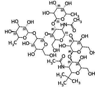 CC(=O)NC1[C@H](O[C@@H]2C(O)[C@H](O[C@@H]3C(NC(C)=O)C(C(C)(C)C)OC(CO)[C@@H]3O)OC(CO)[C@@H]2O)OC(CO)[C@@H](O[C@@H]2OC(CO)C(O)[C@H](O)C2OC2OC(C)[C@@H](O)C(O)[C@@H]2O)[C@@H]1O[C@@H]1OC(C)[C@@H](O)[C@@H](O)C1O